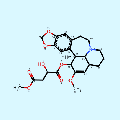 COC(=O)C[C@@H](O)C(=O)OC1C(OC)=CC2CCCN3CCc4cc5c(cc4[C@H]1C23)OCO5